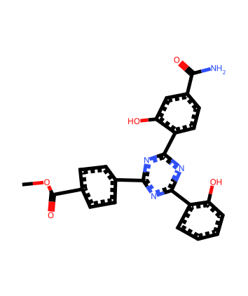 COC(=O)c1ccc(-c2nc(-c3ccccc3O)nc(-c3ccc(C(N)=O)cc3O)n2)cc1